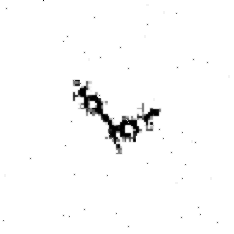 C=CC(=O)Nc1cnc2c(c1)c(C#Cc1ccc(C(F)(F)F)cn1)cn2C